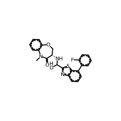 CN1C(=O)[C@@H](NC(O)c2nc3cccc(-c4ccccc4F)c3s2)COc2ccccc21